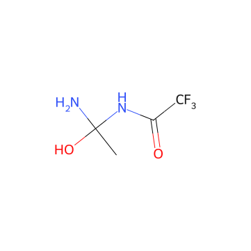 CC(N)(O)NC(=O)C(F)(F)F